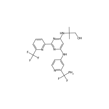 CC(C)(CO)Nc1cc(Nc2ccnc(C(F)(F)P)c2)nc(-c2cccc(C(F)(F)F)n2)n1